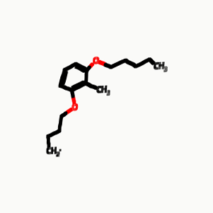 [CH2]CCCOc1cccc(OCCCCC)c1C